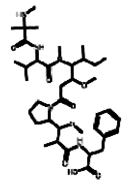 CCC(C)C(C(CC(=O)N1CCCC1C(OC)C(C)C(=O)NC(Cc1ccccc1)C(=O)O)OC)N(C)C(=O)C(NC(=O)C(C)(C)NC)C(C)C